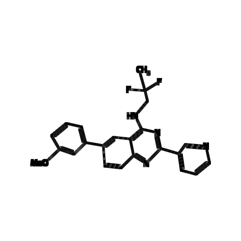 COc1cccc(-c2ccc3nc(-c4cccnc4)nc(NCC(C)(F)F)c3c2)c1